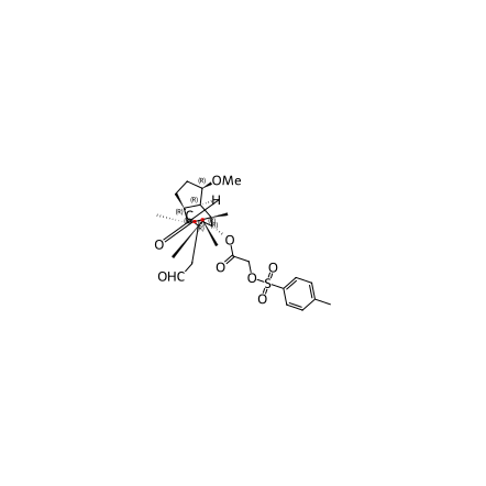 CO[C@@H]1CC[C@]23CC[C@@H](C)[C@](C)([C@H]12)[C@H](OC(=O)COS(=O)(=O)c1ccc(C)cc1)C[C@](C)(CC=O)C(=O)[C@@H]3C